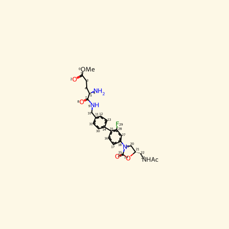 COC(=O)CC[C@@H](N)C(=O)NCc1ccc(-c2ccc(N3C[C@H](CNC(C)=O)OC3=O)cc2F)cc1